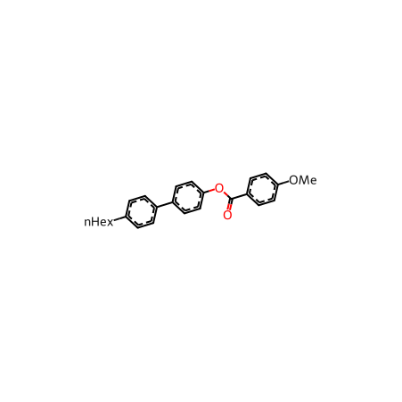 CCCCCCc1ccc(-c2ccc(OC(=O)c3ccc(OC)cc3)cc2)cc1